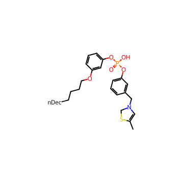 CCCCCCCCCCCCCCOc1cccc(OP(=O)(O)Oc2cccc(CN3C=C(C)SC3)c2)c1